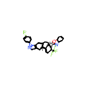 C[C@]12Cc3cnn(-c4ccc(F)cc4)c3C=C1CC[C@H]1C2=CC[C@@H](C(F)(F)F)[C@@H]1c1nc2ccccc2o1